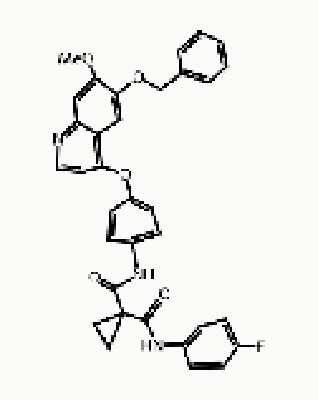 COc1cc2nccc(Oc3ccc(NC(=O)C4(C(=O)Nc5ccc(F)cc5)CC4)cc3)c2cc1OCc1ccccc1